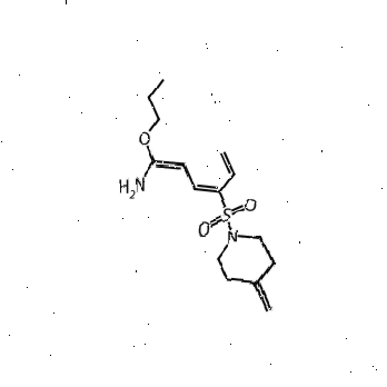 C=C/C(=C\C=C(/N)OCCC)S(=O)(=O)N1CCC(=C)CC1